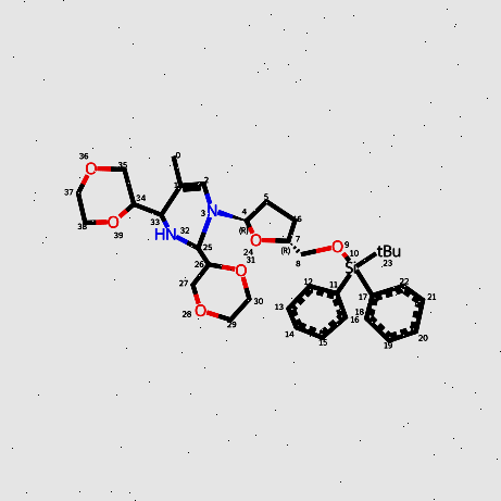 CC1=CN([C@H]2C[CH][C@H](CO[Si](c3ccccc3)(c3ccccc3)C(C)(C)C)O2)C(C2COCCO2)NC1C1COCCO1